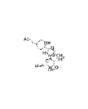 CSC1O[C@H]([C@H](NC(=O)C2CCC(CCC(C)=O)CCN2)[C@H](C)Cl)C(O)C(O)[C@H]1O